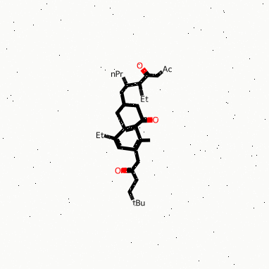 CCCC(CC1CC(=O)c2c(C)c(CC(=O)CCC(C)(C)C)cc(CC)c2C1)C(CC)C(=O)CC(C)=O